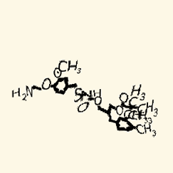 COc1cc(CSNC(=O)OCC(COC(=O)C(C)(C)C)Cc2ccc(C)c(C)c2)ccc1OCCN